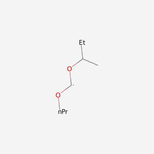 CCCO[CH]OC(C)CC